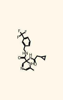 CC1=CN=CC(NC(=O)CC2CC2)(C(=O)NCc2cccc(C(F)(F)F)c2)N1